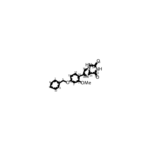 COc1cc(OCc2ccccc2)ccc1-c1cn2[nH]c(=O)[nH]c(=O)c2n1